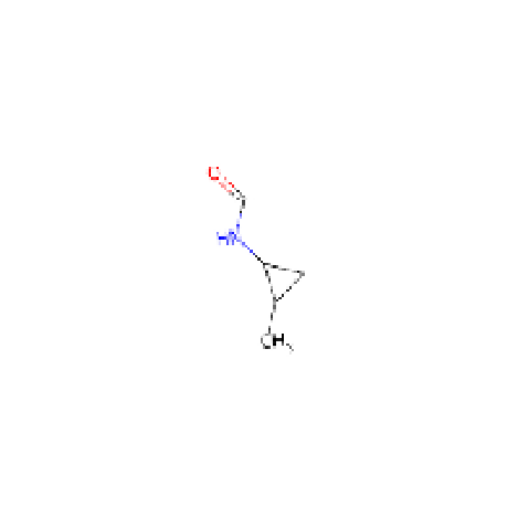 CC1CC1N[C]=O